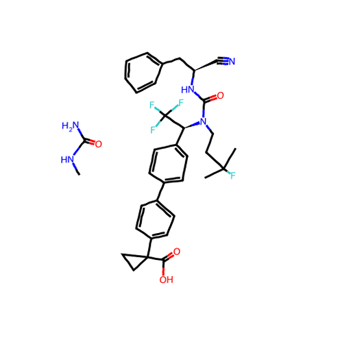 CC(C)(F)CCN(C(=O)N[C@H](C#N)Cc1ccccc1)[C@@H](c1ccc(-c2ccc(C3(C(=O)O)CC3)cc2)cc1)C(F)(F)F.CNC(N)=O